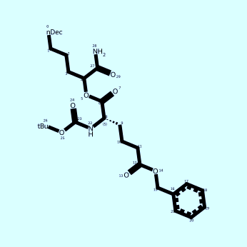 CCCCCCCCCCCCCC(OC(=O)[C@H](CCCC(=O)OCc1ccccc1)NC(=O)OC(C)(C)C)C(N)=O